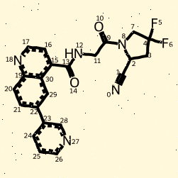 N#CC1CC(F)(F)CN1C(=O)CNC(=O)c1ccnc2ccc(-c3cccnc3)cc12